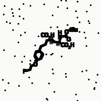 CC(C)(C)OC(=O)N[C@@H](C[C@H](CCCc1ccc(OCCF)cc1)C(=O)O)C(=O)O